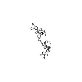 C[C@@H]1CN(CCO[C@H]2CC[C@H](N3C(=S)N(c4ccc(C#N)c(Cl)c4)C(=O)C3(C)C)CC2)C[C@H](C)N1CC(=O)Nc1cc(C2CCC(=O)NC2=O)ccn1